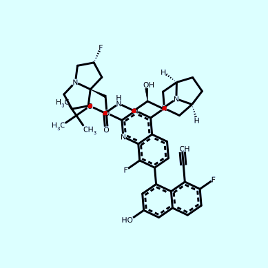 C#Cc1c(F)ccc2cc(O)cc(-c3ccc4c(N5C[C@H]6CC[C@@H](C5)N6C[C@H](O)CNC(=O)OC(C)(C)C)nc(OC[C@@]56CCCN5C[C@H](F)C6)nc4c3F)c12